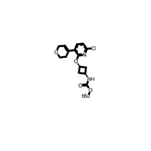 CC(C)(C)OC(=O)N[C@H]1C[C@@H](Oc2nc(Cl)ccc2C2=CCOCC2)C1